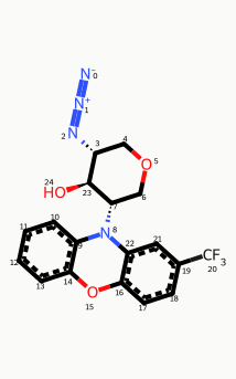 [N-]=[N+]=N[C@@H]1COC[C@H](N2c3ccccc3Oc3ccc(C(F)(F)F)cc32)[C@H]1O